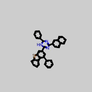 c1ccc(-c2cc(C3=NC(c4ccc5ccccc5c4)=NC(c4ccccc4)N3)cc3sc4ccccc4c23)cc1